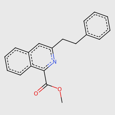 COC(=O)c1nc(CCc2ccccc2)cc2ccccc12